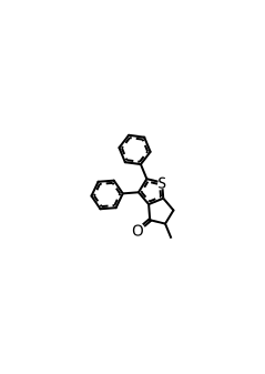 CC1Cc2sc(-c3ccccc3)c(-c3ccccc3)c2C1=O